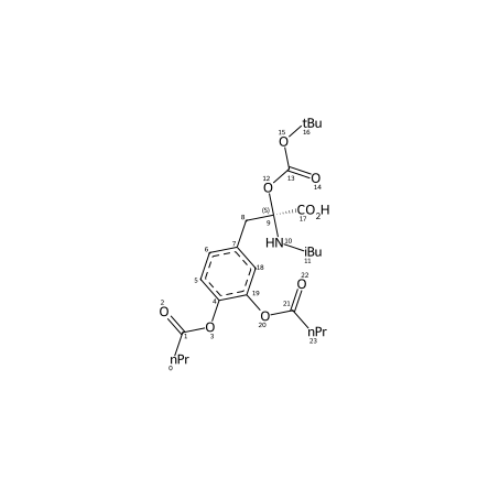 CCCC(=O)Oc1ccc(C[C@](NC(C)CC)(OC(=O)OC(C)(C)C)C(=O)O)cc1OC(=O)CCC